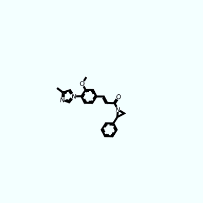 COc1cc(C=CC(=O)N2CC2c2ccccc2)ccc1-n1cnc(C)c1